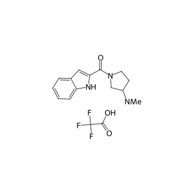 CNC1CCN(C(=O)c2cc3ccccc3[nH]2)C1.O=C(O)C(F)(F)F